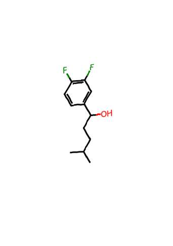 CC(C)CCC(O)c1ccc(F)c(F)c1